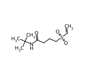 C=CS(=O)(=O)CCCC(=O)NC(C)(C)C